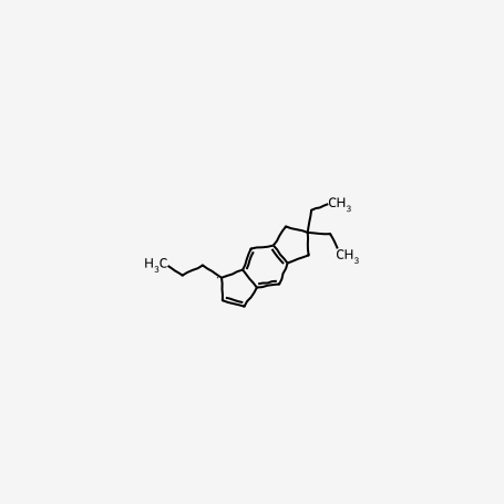 CCC[C]1C=Cc2cc3c(cc21)CC(CC)(CC)C3